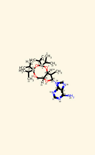 CC1[C@H]2O[Si](C(C)C)(C(C)C)O[Si](C(C)C)(C(C)C)OC[C@H]2O[C@H]1n1cnc2c(N)ncnc21